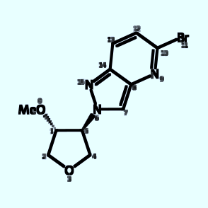 CO[C@H]1COC[C@@H]1n1cc2nc(Br)ccc2n1